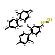 Cc1ccc(-c2ccc(C)cc2C)c(C)c1.Cc1ccc(-c2ccc(C)cc2C)c(C)c1.SS